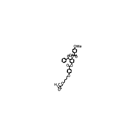 COOC(c1ccccc1)c1cc(OC(=O)c2ccc(OCCCCOCC3(C)COC3)cc2)ccc1OC(=O)c1ccc(OC)cc1